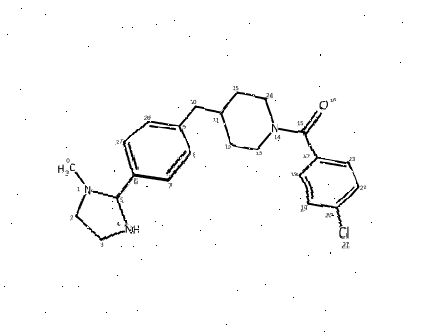 CN1CCNC1c1ccc(CC2CCN(C(=O)c3ccc(Cl)cc3)CC2)cc1